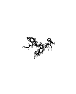 CCCCn1/c(=N/C(=O)c2cc(C(F)(F)F)ccc2OCCNC(C)=O)sc2ccncc21